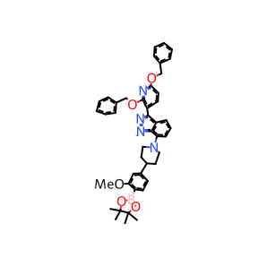 COc1cc(C2CCN(c3cccc4c(-c5ccc(OCc6ccccc6)nc5OCc5ccccc5)nn(C)c34)CC2)ccc1B1OC(C)(C)C(C)(C)O1